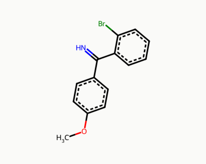 COc1ccc(C(=N)c2ccccc2Br)cc1